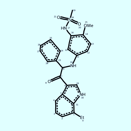 CCc1cccc2c(C(=O)C(Nc3ccc(OC)c(NS(C)(=O)=O)c3)c3ccccc3)c[nH]c12